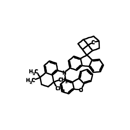 CC1(C)CCC(C)(C)c2c(N(c3ccc4c(c3)-c3ccccc3C43C4CC5CC6CC3C64C5)c3cccc4oc5ccccc5c34)cccc21